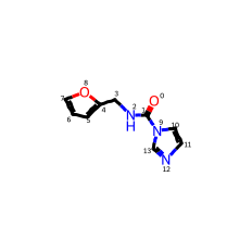 O=C(NCc1ccco1)n1ccnc1